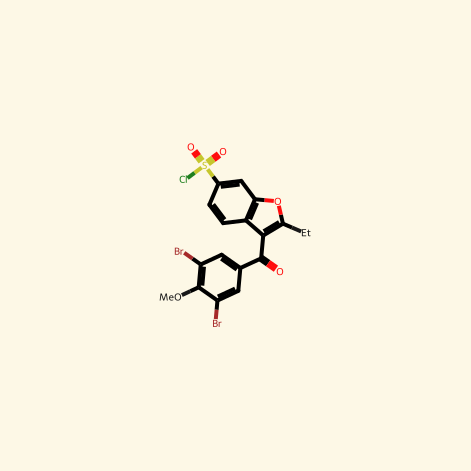 CCc1oc2cc(S(=O)(=O)Cl)ccc2c1C(=O)c1cc(Br)c(OC)c(Br)c1